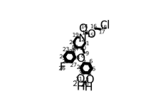 [2H]C1([2H])Oc2ccc(OCC3CN(C(=O)OCCCl)CC[C@H]3c3ccc(F)cc3)cc2O1